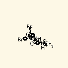 CC(C)(C(=O)NCc1ccc(Cl)c(C(=O)Nc2ccc(CCCC(F)F)c(C(=O)Nc3ccc(Br)cc3)c2)c1Cl)C(F)(F)F